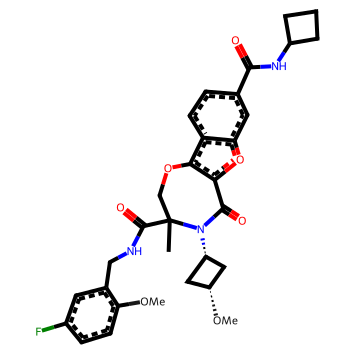 COc1ccc(F)cc1CNC(=O)C1(C)COc2c(oc3cc(C(=O)NC4CCC4)ccc23)C(=O)N1[C@H]1C[C@@H](OC)C1